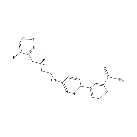 NC(=O)c1cccc(-c2ccc(NCC[C@H](F)Cc3ncccc3F)nn2)c1